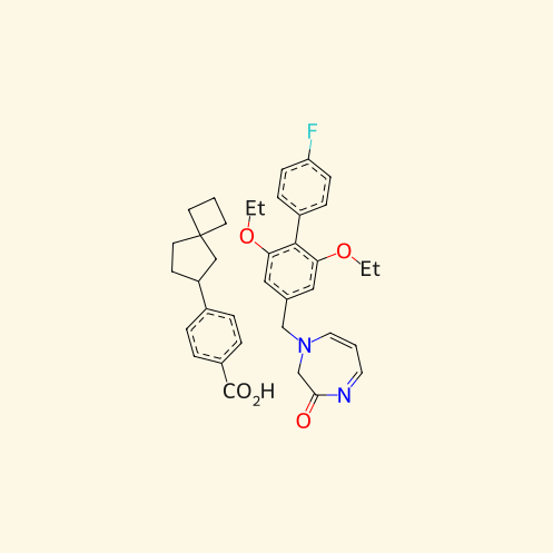 CCOc1cc(CN2C=CC=NC(=O)C2)cc(OCC)c1-c1ccc(F)cc1.O=C(O)c1ccc(C2CCC3(CCC3)C2)cc1